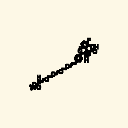 Cc1c(F)ccc(F)c1-c1c(C(=O)O)c[nH]c1C(=O)c1ccc(CCCOCCOCCOCCOCCNC(=O)OC(C)(C)C)cc1